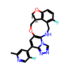 Cc1cc(-c2cc3c(n4cnnc24)NCc2c(F)ccc4c2[C@H](CO4)CO3)c(F)cn1